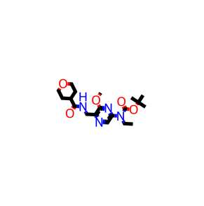 CCN(C(=O)OC(C)(C)C)c1cnc(CNC(=O)C2CCOCC2)c(OC)n1